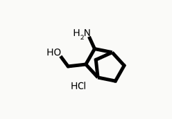 Cl.NC1C2CCC(C2)C1CO